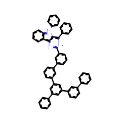 c1ccc(-c2cccc(-c3cc(-c4ccccc4)cc(-c4cccc(-c5cccc(-c6nc(-c7ccccc7)c7c(n6)c6ccccc6n7-c6ccccc6)c5)c4)c3)c2)cc1